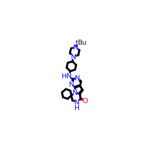 CC(C)(C)N1CCN(C2CCC(Nc3ncc4cc5n(c4n3)C3(CCCCC3)CNC5=O)CC2)CC1